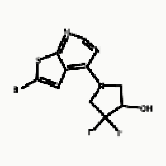 OC1CN(c2ncnc3sc(Br)cc23)CC1(F)F